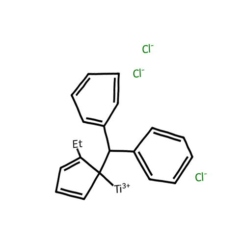 CCC1=CC=C[C]1([Ti+3])C(c1ccccc1)c1ccccc1.[Cl-].[Cl-].[Cl-]